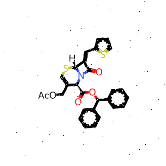 CC(=O)OCC1=CS[C@@H]2/C(=C/c3cccs3)C(=O)N2[C@H]1C(=O)OC(c1ccccc1)c1ccccc1